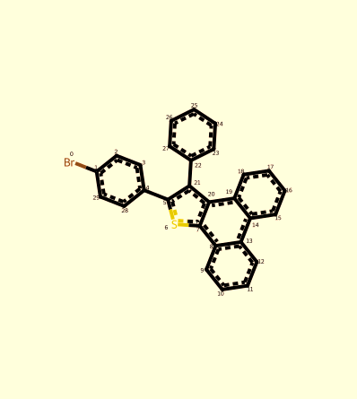 Brc1ccc(-c2sc3c4ccccc4c4ccccc4c3c2-c2ccccc2)cc1